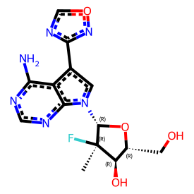 C[C@@]1(F)[C@H](O)[C@@H](CO)O[C@H]1n1cc(-c2ncon2)c2c(N)ncnc21